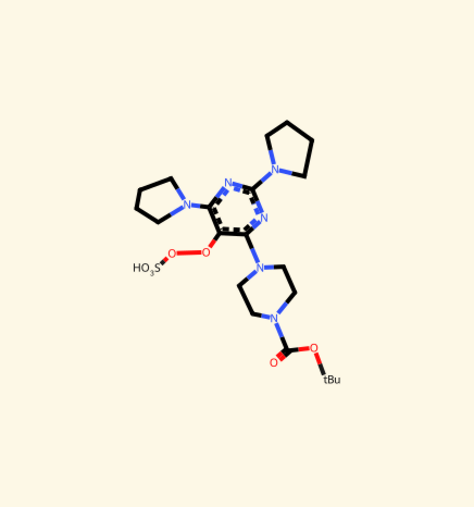 CC(C)(C)OC(=O)N1CCN(c2nc(N3CCCC3)nc(N3CCCC3)c2OOS(=O)(=O)O)CC1